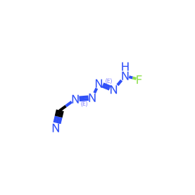 N#C/N=N/N=N/NF